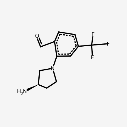 N[C@@H]1CCN(c2cc(C(F)(F)F)ccc2C=O)C1